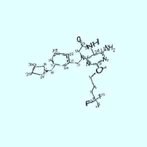 Nc1nc(OCCCC(F)(F)F)nc2c1NC(=O)CN2Cc1cccc(CN2CCCC2)c1